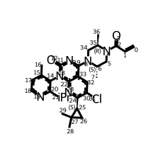 C=CC(=O)N1C[C@H](C)N(c2nc(=O)n(-c3c(C)ccnc3C(C)C)c3nc([C@H]4CC4(C)C)c(Cl)cc23)C[C@H]1C